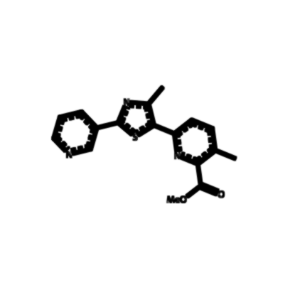 COC(=O)c1nc(-c2sc(-c3cccnc3)nc2C)ccc1C